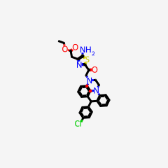 CCOC(=O)Cc1nc(C(=O)CN2CCN(c3ccccc3C(c3ccccc3)c3ccc(Cl)cc3)CC2)sc1N